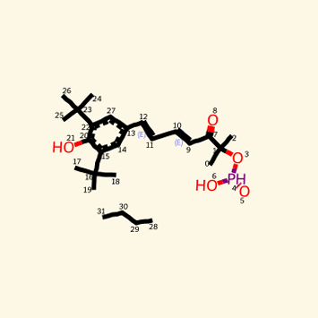 CC(C)(O[PH](=O)O)C(=O)/C=C/C=C/c1cc(C(C)(C)C)c(O)c(C(C)(C)C)c1.CCCC